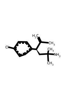 C=C(C)[C@@H](CC(C)(C)N)c1ccc(Cl)cc1